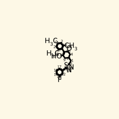 Cc1cc(C)c(C2=C(O)CC(Cc3nnc(-c4cccc(F)c4)s3)CC2=O)c(C)c1